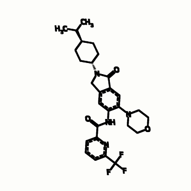 CC(C)[C@H]1CC[C@H](N2Cc3cc(NC(=O)c4cccc(C(F)(F)F)n4)c(N4CCOCC4)cc3C2=O)CC1